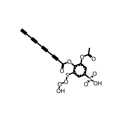 C#CC#CC#CC#CC(=O)Oc1c(OC(C)=O)cc(S(=O)(=O)O)cc1SOOO